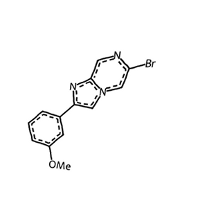 COc1cccc(-c2cn3cc(Br)ncc3n2)c1